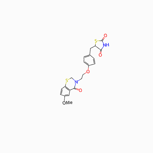 COc1ccc2c(c1)C(=O)N(CCOc1ccc(CC3SC(=O)NC3=O)cc1)CS2